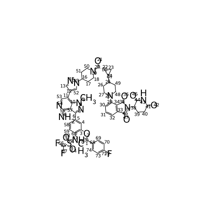 C[C@H](Oc1cc(-c2nn(C)c3c(-c4cnn(C5CCN(C(=O)[C@@H]6C[C@H]6C6CCN(c7cccc8c7C(=O)N(C7CCC(=O)NC7=O)C8=O)CC6)CC5)c4)cnc(N)c23)ccc1NS(=O)(=O)C(F)F)c1ccc(F)cc1